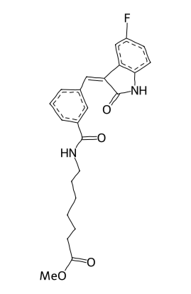 COC(=O)CCCCCCNC(=O)c1cccc(/C=C2\C(=O)Nc3ccc(F)cc32)c1